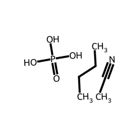 CC#N.CCCC.O=P(O)(O)O